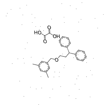 Cc1cc(C)cc(COCCC(c2ccccc2)c2ccccc2)c1.O=C(O)C(=O)O